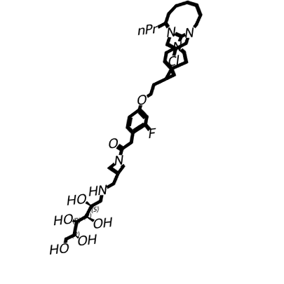 CCCC1CCCCCCN2CC(Cl)CN1C2N1CCC2(CC1)CC2CCOc1ccc(CC(=O)N2CC(CNC[C@H](O)[C@@H](O)[C@H](O)[C@H](O)CO)C2)c(F)c1